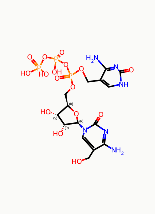 Nc1nc(=O)[nH]cc1COP(=O)(OC[C@H]1O[C@@H](n2cc(CO)c(N)nc2=O)[C@H](O)[C@@H]1O)OP(=O)(O)OP(=O)(O)O